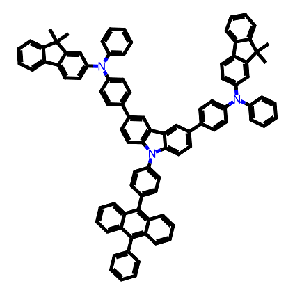 CC1(C)c2ccccc2-c2ccc(N(c3ccccc3)c3ccc(-c4ccc5c(c4)c4cc(-c6ccc(N(c7ccccc7)c7ccc8c(c7)C(C)(C)c7ccccc7-8)cc6)ccc4n5-c4ccc(-c5c6ccccc6c(-c6ccccc6)c6ccccc56)cc4)cc3)cc21